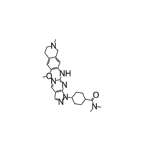 COc1cc2c(cc1Nc1ncc3cnn(C4CCC(C(=O)N(C)C)CC4)c3n1)CN(C)CC2